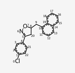 Clc1ccc(C2=NOC(Cc3cccc4ccccc34)C2)cc1